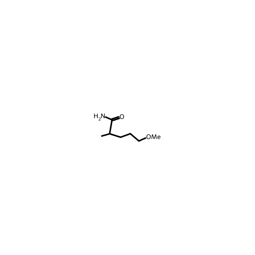 COCCCC(C)C(N)=O